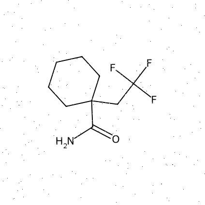 NC(=O)C1(CC(F)(F)F)CCCCC1